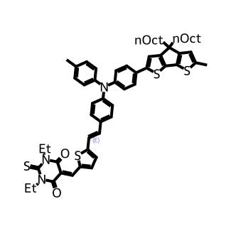 CCCCCCCCC1(CCCCCCCC)c2cc(C)sc2-c2sc(-c3ccc(N(c4ccc(C)cc4)c4ccc(/C=C/c5ccc(C=C6C(=O)N(CC)C(=S)N(CC)C6=O)s5)cc4)cc3)cc21